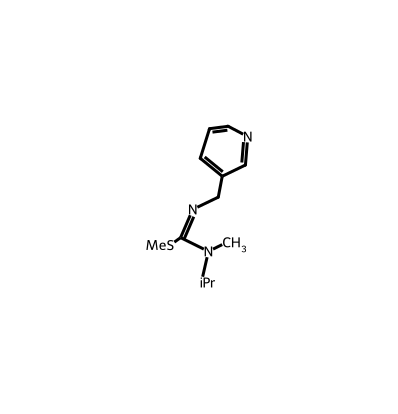 CSC(=NCc1cccnc1)N(C)C(C)C